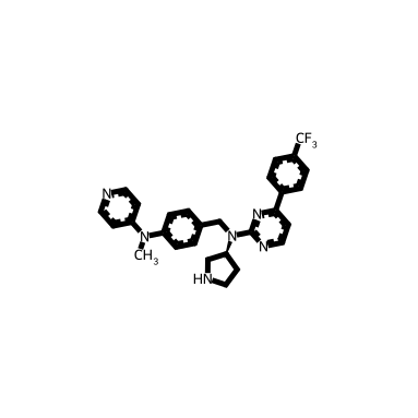 CN(c1ccncc1)c1ccc(CN(c2nccc(-c3ccc(C(F)(F)F)cc3)n2)[C@H]2CCNC2)cc1